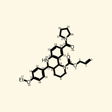 C=CCOC(=O)N1CCCC2C(c3ccc(OCC)cc3)Nc3ccc(C(=O)N4CCCC4)cc3C21